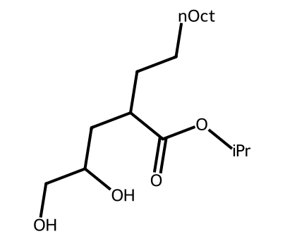 CCCCCCCCCCC(CC(O)CO)C(=O)OC(C)C